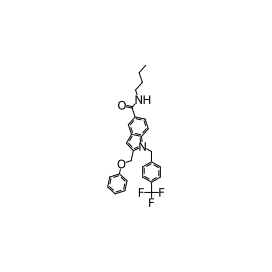 CCCCNC(=O)c1ccc2c(c1)cc(COc1ccccc1)n2Cc1ccc(C(F)(F)F)cc1